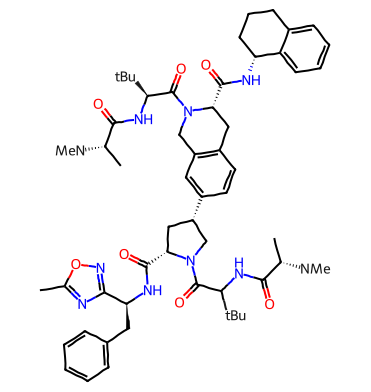 CN[C@@H](C)C(=O)NC(C(=O)N1C[C@@H](c2ccc3c(c2)CN(C(=O)[C@@H](NC(=O)[C@H](C)NC)C(C)(C)C)[C@H](C(=O)N[C@@H]2CCCc4ccccc42)C3)C[C@H]1C(=O)N[C@@H](Cc1ccccc1)c1noc(C)n1)C(C)(C)C